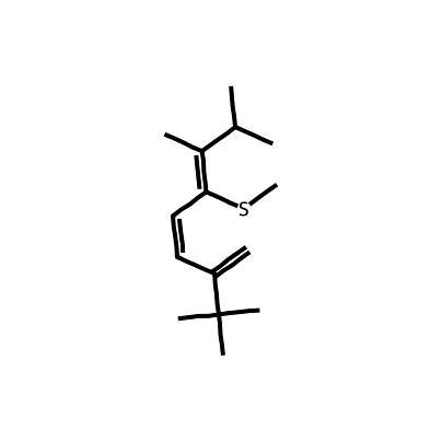 C=C(/C=C\C(SC)=C(/C)C(C)C)C(C)(C)C